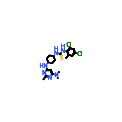 Cc1nc(N[C@H]2CC[C@@H](NC(=S)Nc3c(C)cc(Cl)cc3Cl)CC2)cc(N(C)C)n1